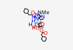 CNc1nc(NC(=O)CC2CCCCC2)nc2c1N=CC2[C@@H]1O[C@H](COC(=O)CC2CCCCC2)[C@@H](O)[C@@]1(C)F